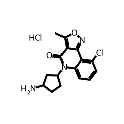 Cc1onc2c1c(=O)n(C1CCC(N)C1)c1cccc(Cl)c21.Cl